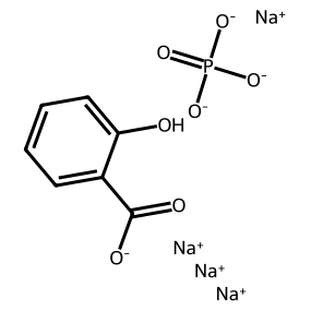 O=C([O-])c1ccccc1O.O=P([O-])([O-])[O-].[Na+].[Na+].[Na+].[Na+]